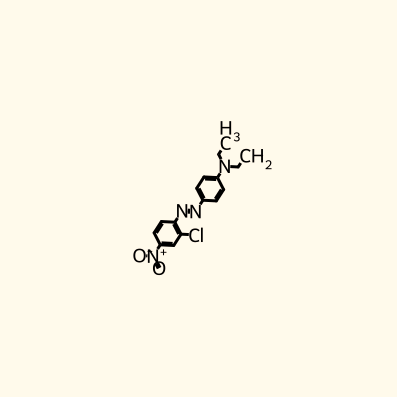 [CH2]CN(CC)c1ccc(N=Nc2ccc([N+](=O)[O-])cc2Cl)cc1